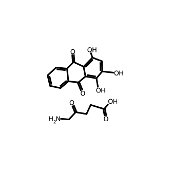 NCC(=O)CCC(=O)O.O=C1c2ccccc2C(=O)c2c(O)c(O)cc(O)c21